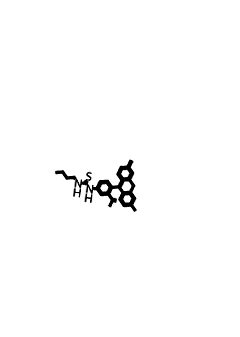 C=C(C)c1cc(NC(=S)NCCCC)ccc1C1=c2ccc(=C)cc2Cc2cc(C)ccc21